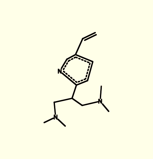 C=Cc1ccc(C(CN(C)C)CN(C)C)nc1